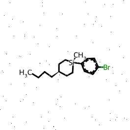 CCCC[C@H]1CC[Si@](C)(c2ccc(Br)cc2)CC1